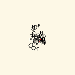 CC[C@H]1Cc2nc(-c3cccc4ccc(F)c(C#C[Si](C(C)C)(C(C)C)C(C)C)c34)c(F)c3nc(OC[C@@]45CCCN4C[C@H](F)C5)nc(c23)N2C[C@H]3CC[C@@H]([C@H]12)N3C(=O)OC(C)(C)C